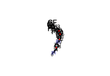 C/C=C/CCC1CCC(/C=C/C2CCC(C(F)(F)Oc3ccc(-c4ccc(OC(F)(F)F)c(F)c4)c(F)c3)CC2)CC1